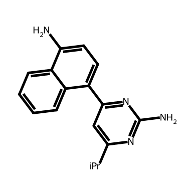 CC(C)c1cc(-c2ccc(N)c3ccccc23)nc(N)n1